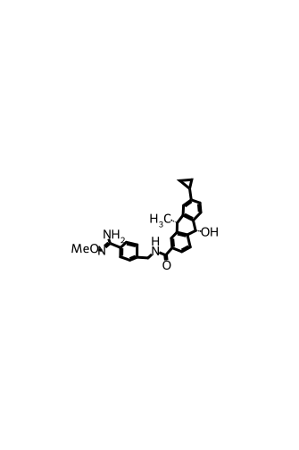 CON=C(N)c1ccc(CNC(=O)c2ccc3c(c2)[C@H](C)c2cc(C4CC4)ccc2[C@@H]3O)cc1